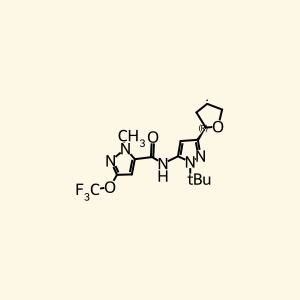 Cn1nc(OC(F)(F)F)cc1C(=O)Nc1cc([C@H]2C[CH]CO2)nn1C(C)(C)C